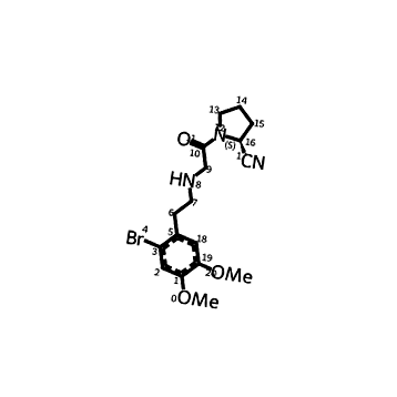 COc1cc(Br)c(CCNCC(=O)N2CCC[C@H]2C#N)cc1OC